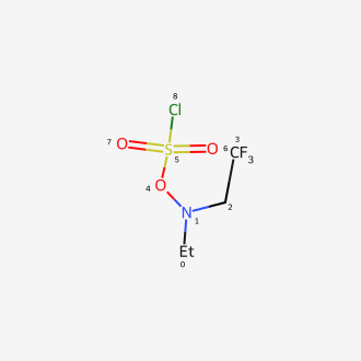 CCN(CC(F)(F)F)OS(=O)(=O)Cl